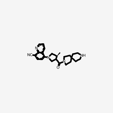 C[C@@H]1CN(c2ccc(C#N)c3ncccc23)CC1C(=O)N1CCC2(CCNCC2)CC1